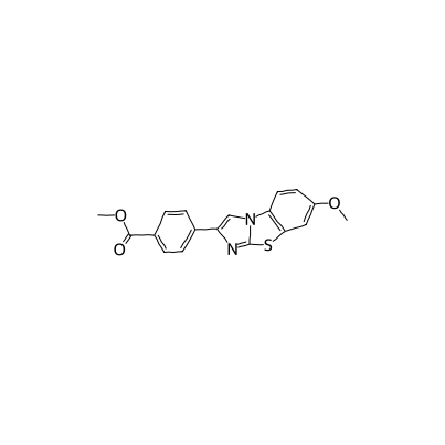 COC(=O)c1ccc(-c2cn3c(n2)sc2cc(OC)ccc23)cc1